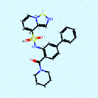 O=C(c1ccc(-c2ccccc2)cc1NS(=O)(=O)C1=CC=CN2SNC=C12)N1CCCCC1